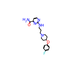 NC(=O)c1ccnc(NCCCN2CCC(Oc3ccc(F)cc3)CC2)n1